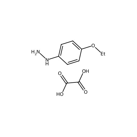 CCOc1ccc(NN)cc1.O=C(O)C(=O)O